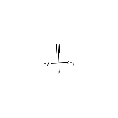 [C]#CC(C)(C)F